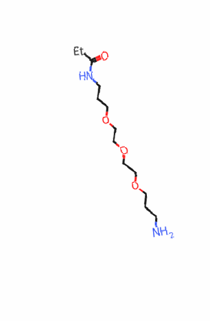 CCC(=O)NCCCOCCOCCOCCCN